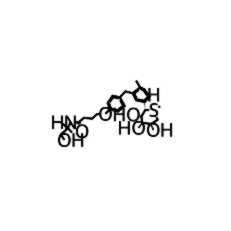 Cc1ccc([C@H]2[C@H](O)[C@H](O)[C@H](O)C[SH]2C)cc1Cc1ccc(OCCCC(=O)NC(C)(C)CO)cc1